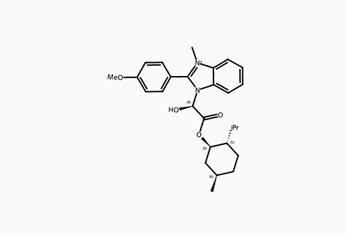 COc1ccc(-c2n([C@H](O)C(=O)O[C@@H]3C[C@H](C)CC[C@H]3C(C)C)c3ccccc3[n+]2C)cc1